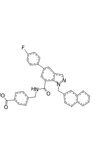 O=C(O)c1ccc(CNC(=O)c2cc(-c3ccc(F)cc3)cc3cnn(Cc4ccc5ccccc5c4)c23)cc1